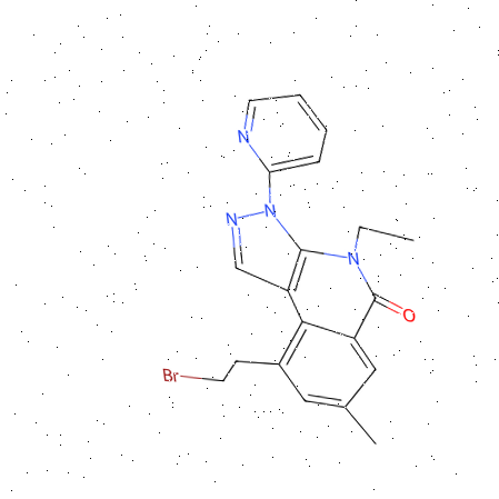 CCn1c(=O)c2cc(C)cc(CCBr)c2c2cnn(-c3ccccn3)c21